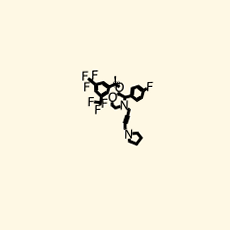 C[C@@H](OC1OCCN(CC#CCN2CCCC2)C1c1ccc(F)cc1)c1cc(C(F)(F)F)cc(C(F)(F)F)c1